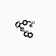 O=[SH](=O)Cc1ccc(-c2nccnc2C2CN(c3ccc4ccccc4n3)C2)cc1